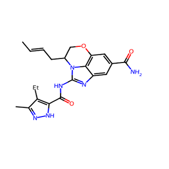 CC=CCC1COc2cc(C(N)=O)cc3nc(NC(=O)c4[nH]nc(C)c4CC)n1c23